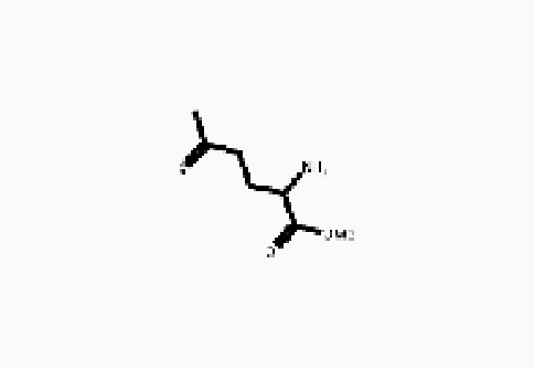 COC(=O)C(N)CCC(C)=S